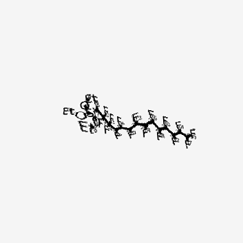 CCO[Si](OCC)(OCC)C(F)C(F)(F)C(F)(F)C(F)C(F)C(F)C(F)C(F)C(F)C(F)C(F)C(F)C(F)C(F)F